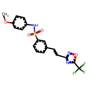 COc1ccc(NS(=O)(=O)c2cccc(C=Cc3noc(C(F)(F)F)n3)c2)cc1